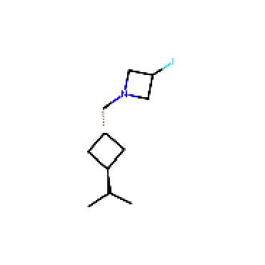 CC(C)[C@H]1C[C@H](CN2CC(F)C2)C1